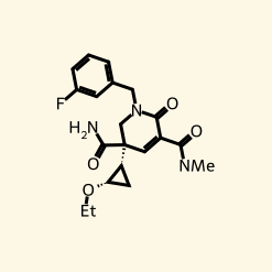 CCO[C@H]1C[C@H]1C1(C(N)=O)C=C(C(=O)NC)C(=O)N(Cc2cccc(F)c2)C1